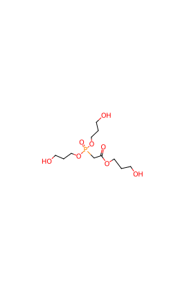 O=C(CP(=O)(OCCCO)OCCCO)OCCCO